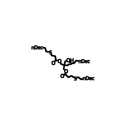 CCCCCCCCCCCCSCCC(=O)OCC(CO)(COC(=O)CCSCCCCCCCCCCCC)CSCCCCCCCCCCCC